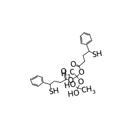 CC(O)(O)OC(C)(OC(=O)CCC(S)c1ccccc1)OC(=O)CCC(S)c1ccccc1